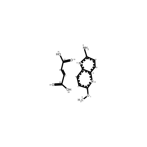 COc1ccc2nc(N)ccc2n1.O=C(O)C=CC(=O)O